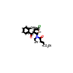 CCOC(=O)C=CC(=O)N(CC(C)C)c1sc(Cl)cc1C(=O)c1ccccc1OC